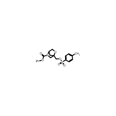 Cc1ccc(S(=O)(=O)OCC23CC(CO2)N(C(=O)OC(C)C)C3)cc1